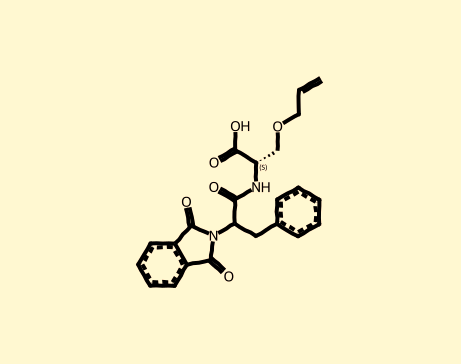 C=CCOC[C@H](NC(=O)C(Cc1ccccc1)N1C(=O)c2ccccc2C1=O)C(=O)O